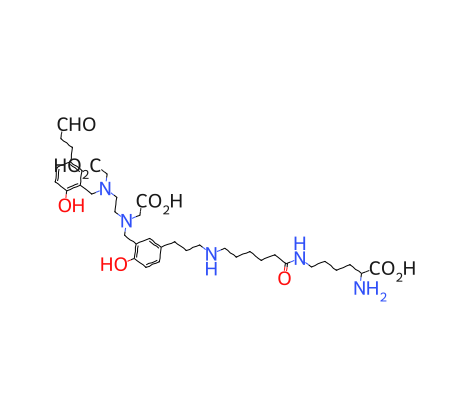 NC(CCCCNC(=O)CCCCCNCCCc1ccc(O)c(CN(CCN(CC(=O)O)Cc2cc(CCC=O)ccc2O)CC(=O)O)c1)C(=O)O